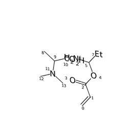 C=CC(=O)OC(N)CC.CC(C(=O)O)N(C)C